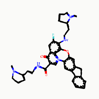 CN1CCCC1CCNC(=O)c1cn2c3c(c(NCCC4CCCN4C)c(F)cc3c1=O)Oc1cc3c(cc1-2)-c1ccccc1C3